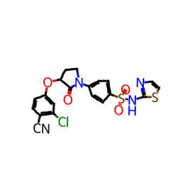 N#Cc1ccc(OC2CCN(c3ccc(S(=O)(=O)Nc4nccs4)cc3)C2=O)cc1Cl